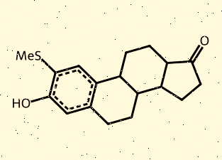 CSc1cc2c(cc1O)CCC1C2CCC2C(=O)CCC21